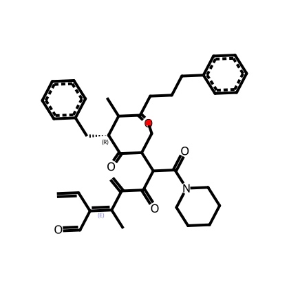 C=C/C(C=O)=C(/C)C(=C)C(=O)C(C(=O)N1CCCCC1)C(CC)C(=O)[C@H](Cc1ccccc1)C(C)C(=O)CCCc1ccccc1